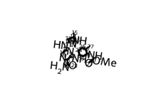 COC(=O)Nc1cc(Nc2nc(Nc3cc(C)[nH]n3)cnc2C(N)=O)ccc1C